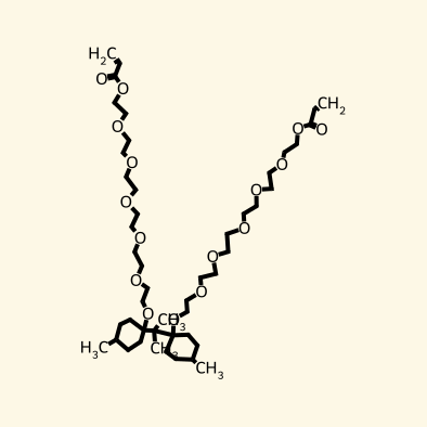 C=CC(=O)OCCOCCOCCOCCOCCOCCOC1(C(C)(C)C2(OCCOCCOCCOCCOCCOCCOC(=O)C=C)CCC(C)CC2)CCC(C)CC1